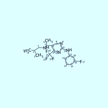 CC(C)CNC(C)c1cnc(Nc2cccc(F)c2)nc1C(F)(F)F